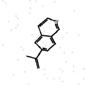 C=C(C)c1ccc2cnccc2c1